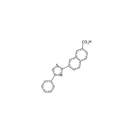 O=C(O)c1ccc2ccc(-c3nc(-c4ccccc4)cs3)cc2c1